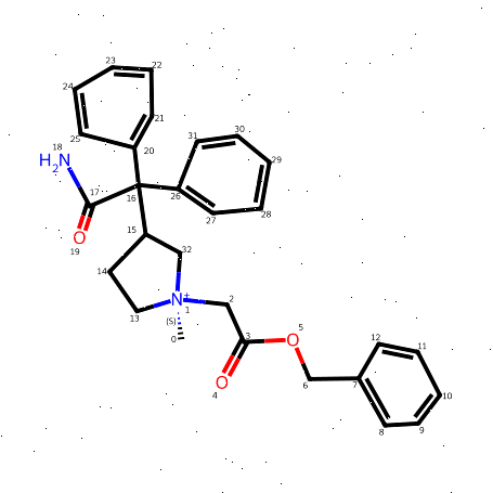 C[N@+]1(CC(=O)OCc2ccccc2)CCC(C(C(N)=O)(c2ccccc2)c2ccccc2)C1